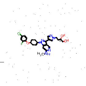 CNc1cc2c(cn1)c(-c1cnn(CC[C@@H](O)CO)c1)nn2C1CCC(Oc2ccc(Cl)cc2F)CC1